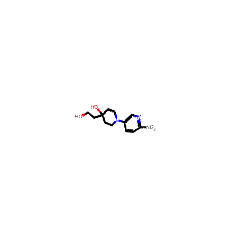 O=[N+]([O-])c1ccc(N2CCC(O)(CCO)CC2)cn1